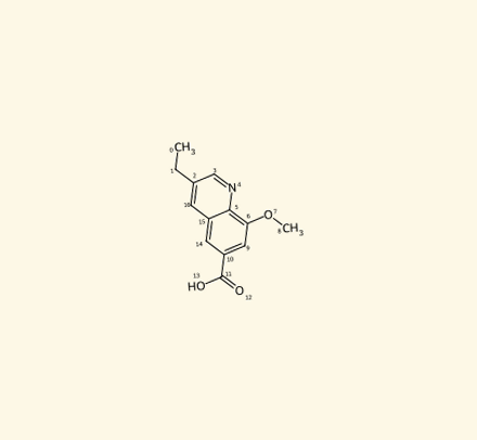 CCc1cnc2c(OC)cc(C(=O)O)cc2c1